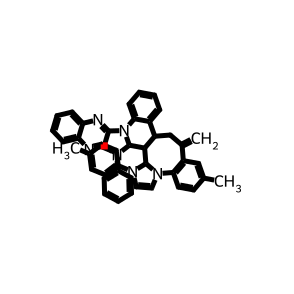 C=C1CC2c3ccccc3N3c4nc5ccccc5nc4N(c4ccccc4)C3C2C2N(c3ccc(C)cc3)C=CN2c2ccc(C)cc21